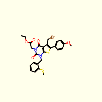 CCOC(=O)Cn1c(=O)c2c(CBr)c(-c3ccc(OC)cc3)sc2n(Cc2ccccc2SC)c1=O